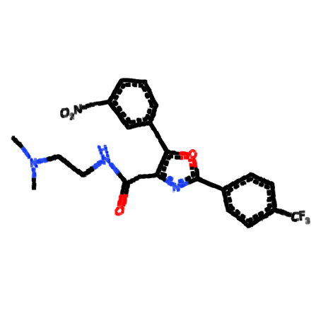 CN(C)CCNC(=O)c1nc(-c2ccc(C(F)(F)F)cc2)oc1-c1cccc([N+](=O)[O-])c1